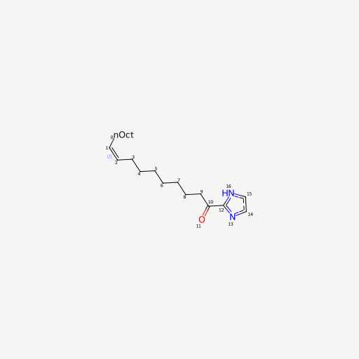 CCCCCCCC/C=C\CCCCCCCC(=O)c1ncc[nH]1